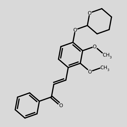 COc1c(C=CC(=O)c2ccccc2)ccc(OC2CCCCO2)c1OC